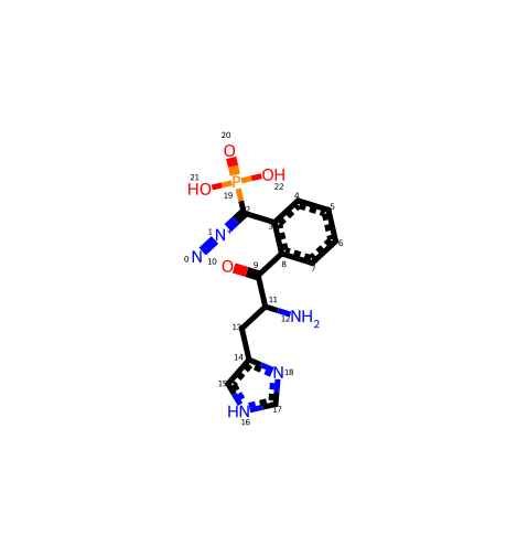 [N-]=[N+]=C(c1ccccc1C(=O)C(N)Cc1c[nH]cn1)P(=O)(O)O